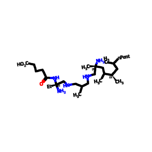 CCCCCC(C)C[C@H](C)C(C)C[C@@](C)(N)CNCC(C)CNC[C@@](N)(CC)NC(=O)CCCC(=O)O